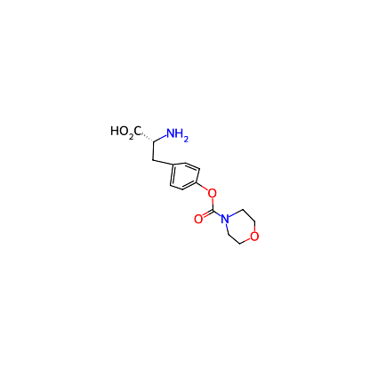 N[C@H](Cc1ccc(OC(=O)N2CCOCC2)cc1)C(=O)O